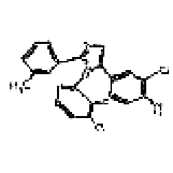 Cc1cccc(-c2ncc(-c3ccc(Cl)c(Cl)c3)n2-c2cccc(Cl)c2F)c1